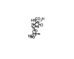 C#C[C@]1(CO)O[C@@H](n2cnc3c(NC(=O)O)nc(Cl)nc32)C[C@@H]1O